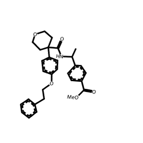 COC(=O)c1ccc(C(C)NC(=O)C2(c3ccc(OCCc4ccccc4)cc3)CCOCC2)cc1